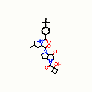 CC(C)CC(NC(=O)c1ccc(C(C)(C)C)cc1)C(=O)N1CCC2C1C(=O)CN2C(=O)C1(O)CCC1